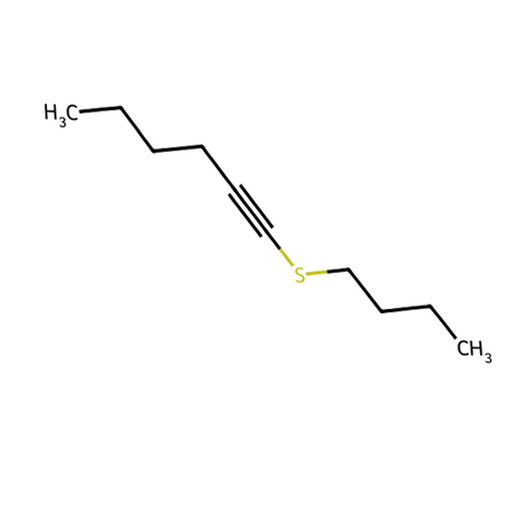 CCCCC#CSCCCC